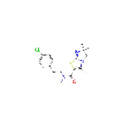 CC1=C(C(=O)N(C)CCc2ccc(Cl)cc2)SC2=NC(C)(C)CN21